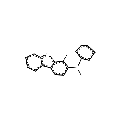 Cc1c(N(C)c2ccccc2)ccc2c1oc1ccccc12